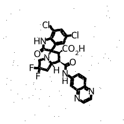 O=C(Nc1ccc2nccnc2c1)[C@H]1[C@H]2CC(F)(F)CN2[C@]2(C(=O)Nc3c(Cl)cc(Cl)cc32)[C@H]1C(=O)O